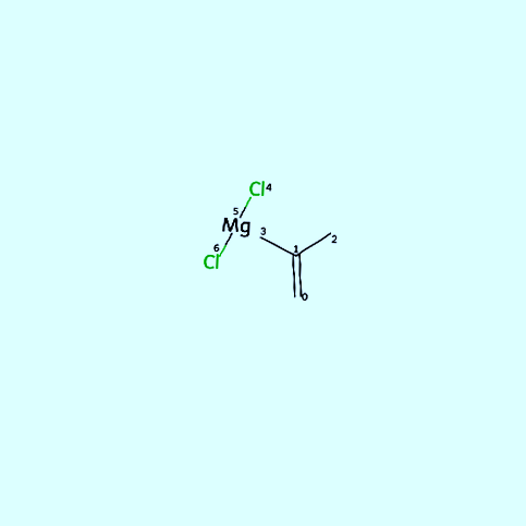 C=C(C)C.[Cl][Mg][Cl]